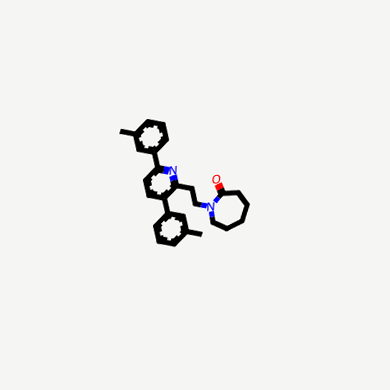 Cc1cccc(-c2ccc(-c3cccc(C)c3)c(CCN3CCCCCC3=O)n2)c1